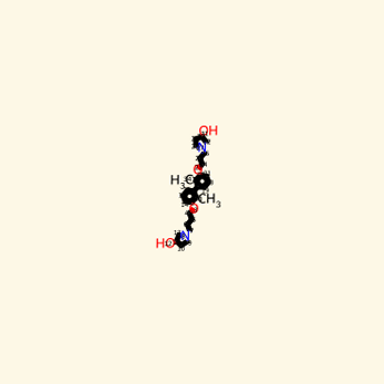 Cc1c(OCCCCN2CCC(O)C2)cccc1-c1cccc(OCCCN2CCC(O)C2)c1C